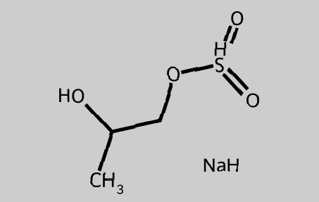 CC(O)CO[SH](=O)=O.[NaH]